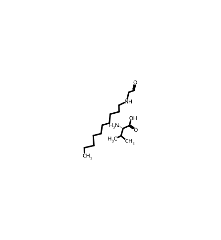 CC(C)[C@H](N)C(=O)O.CCCCCCCCCCNCC=O